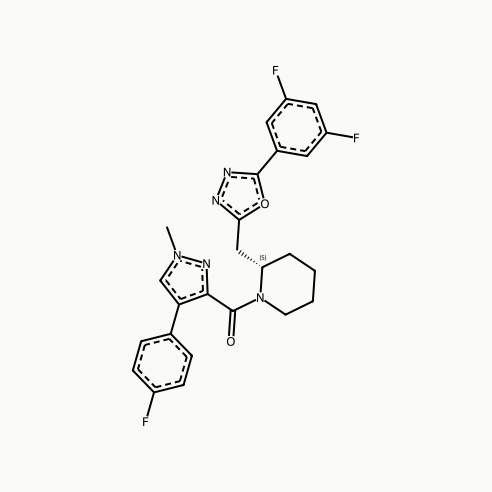 Cn1cc(-c2ccc(F)cc2)c(C(=O)N2CCCC[C@H]2Cc2nnc(-c3cc(F)cc(F)c3)o2)n1